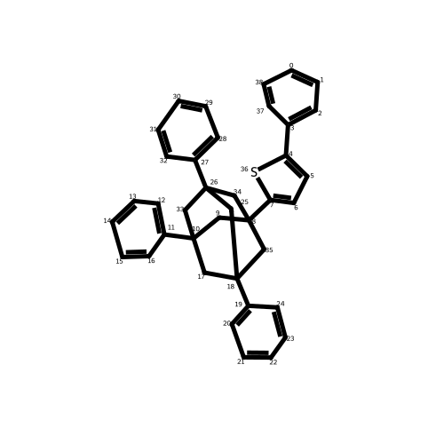 c1ccc(-c2ccc(C34CC5(c6ccccc6)CC(c6ccccc6)(CC(c6ccccc6)(C5)C3)C4)s2)cc1